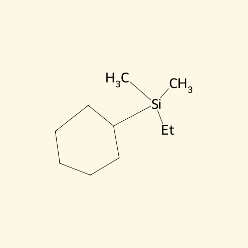 CC[Si](C)(C)C1CCCCC1